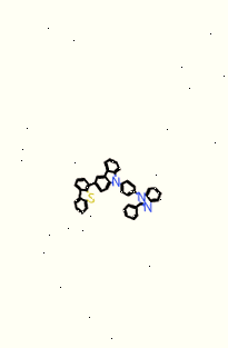 c1ccc(-c2nc3ccccc3n2-c2ccc(-n3c4ccccc4c4cc(-c5cccc6c5sc5ccccc56)ccc43)cc2)cc1